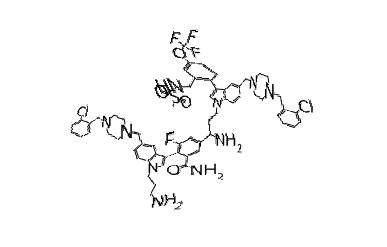 CS(=O)(=O)NCc1cc(OC(F)(F)F)ccc1-c1cn(CCC(N)c2cc(F)c(-c3cn(CCCN)c4ccc(CN5CCN(Cc6ccccc6Cl)CC5)cc34)c(C(N)=O)c2)c2ccc(CN3CCN(Cc4ccccc4Cl)CC3)cc12